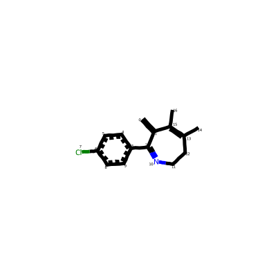 C=C1C(c2ccc(Cl)cc2)=NCCC(C)=C1C